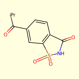 CC(C)C(=O)c1ccc2c(c1)S(=O)(=O)NC2=O